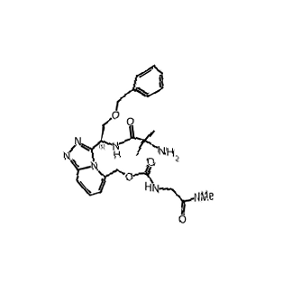 CNC(=O)CNC(=O)OCc1cccc2nnc([C@@H](COCc3ccccc3)NC(=O)C(C)(C)N)n12